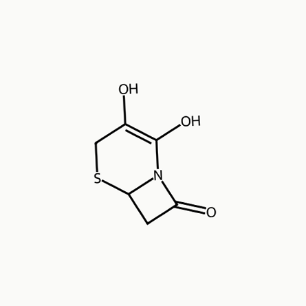 O=C1CC2SCC(O)=C(O)N12